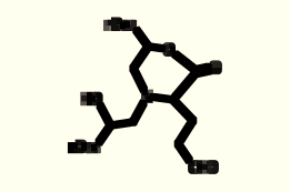 CCCCCCCCCCC(O)CN1CC(CCCCCCCCCC)OC(=O)C1CCC=O